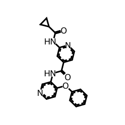 O=C(Nc1cnccc1Oc1ccccc1)c1ccnc(NC(=O)C2CC2)c1